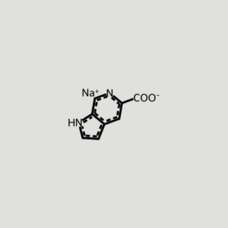 O=C([O-])c1cc2cc[nH]c2cn1.[Na+]